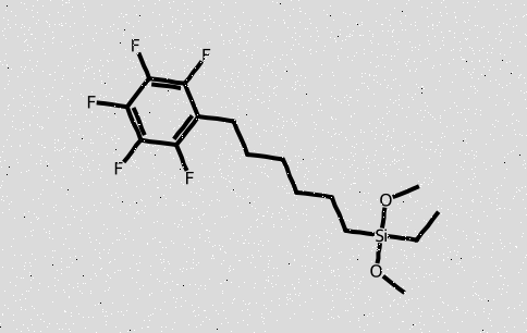 CC[Si](CCCCCCc1c(F)c(F)c(F)c(F)c1F)(OC)OC